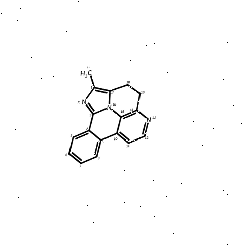 Cc1nc2c3ccccc3c3ccnc4c3n2c1CC4